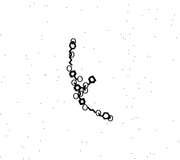 O=C(Oc1ccc(OC(=O)c2ccc(OCCCCOCC3CCC4OC4C3)cc2)c(C(=O)OCc2ccccc2)c1)c1ccc(OCCCCOCC2CCC3OC3C2)cc1